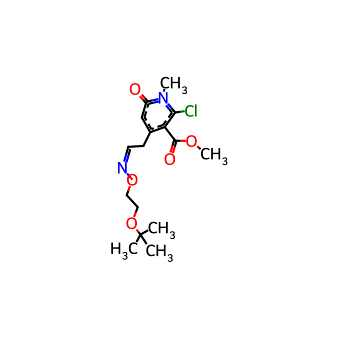 COC(=O)c1c(C/C=N\OCCOC(C)(C)C)cc(=O)n(C)c1Cl